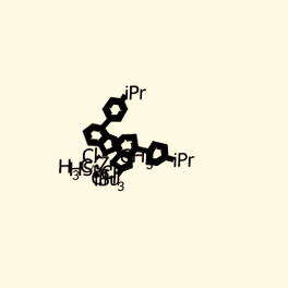 CCC(C)C1=Cc2c(-c3ccc(C(C)C)cc3)cccc2[CH]1[Zr]([Cl])([Cl])([CH]1C(C)=Cc2c(-c3ccc(C(C)C)cc3)cccc21)[SiH](C)C